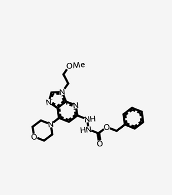 COCCn1cnc2c(N3CCOCC3)cc(NNC(=O)OCc3ccccc3)nc21